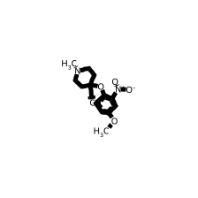 C#CC1(Oc2ccc(OC)cc2[N+](=O)[O-])CCN(C)CC1